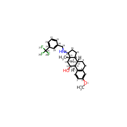 COc1ccc2c(c1)CC[C@@H]1[C@@H]2[C@@H](O)C[C@]2(C)[C@@H](NCc3cccc(C(F)(F)F)c3)CC[C@@H]12